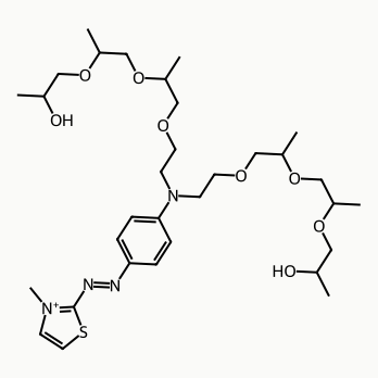 CC(O)COC(C)COC(C)COCCN(CCOCC(C)OCC(C)OCC(C)O)c1ccc(/N=N/c2scc[n+]2C)cc1